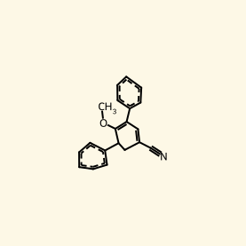 COC1=C(c2ccccc2)C=C(C#N)CC1c1ccccc1